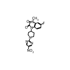 Cn1c(=O)c(=O)n(C2CCN(c3ncc([N+](=O)[O-])cn3)CC2)c2ccc(F)cc21